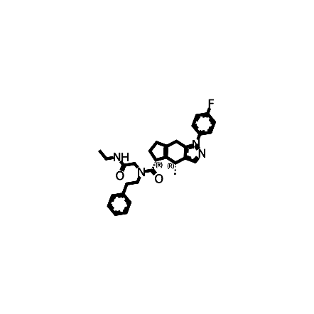 CCNC(=O)CN(CCc1ccccc1)C(=O)[C@@H]1CCC2=C1[C@@H](C)c1cnn(-c3ccc(F)cc3)c1C2